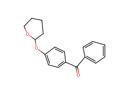 O=C(c1ccccc1)c1ccc(OC2CCCCO2)cc1